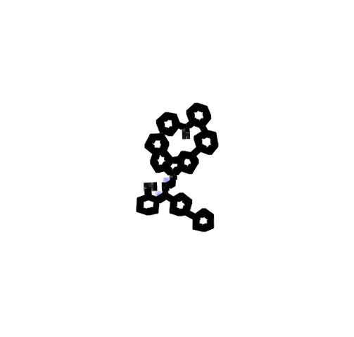 N=C1C=CC=C/C1=C(/N=C/n1c2ccc(-c3cccc(-c4ccccc4Nc4ccccc4)c3)cc2c2c3ccccc3ccc21)c1ccc(-c2ccccc2)cc1